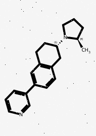 C[C@@H]1CCCN1[C@H]1CCc2cc(-c3cccnc3)ccc2C1